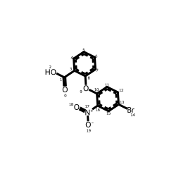 O=C(O)c1ccccc1Oc1ccc(Br)cc1[N+](=O)[O-]